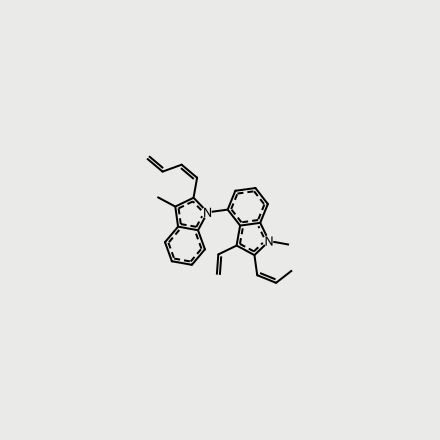 C=C/C=C\c1c(C)c2ccccc2n1-c1cccc2c1c(C=C)c(/C=C\C)n2C